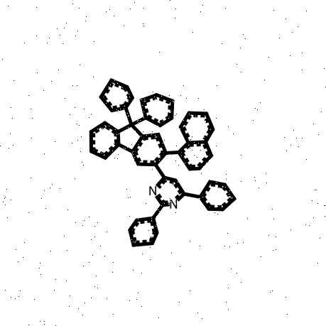 c1ccc(-c2cc(-c3cc4c(cc3-c3cccc5ccccc35)C(c3ccccc3)(c3ccccc3)c3ccccc3-4)nc(-c3ccccc3)n2)cc1